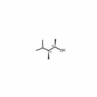 C[C@H]([C@@H](C)O)N(C)C